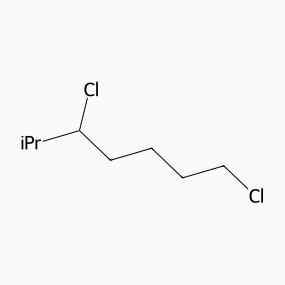 CC(C)C(Cl)CCCCCl